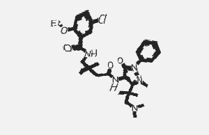 CCOc1ccc(Cl)cc1C(=O)NCC(C)(C)CC(=O)Nc1c(C(C)(C)CN(C)C)n(C)n(-c2ccccc2)c1=O